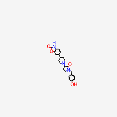 O=C1[C@H](N2CCC(c3ccc4[nH]c(=O)oc4c3)CC2)CCN1Cc1ccc(O)cc1